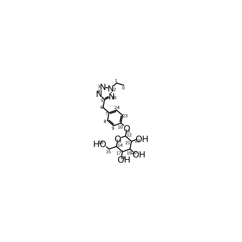 CCn1nnc(Cc2ccc(OC3OC(CO)C(O)C(O)C3O)cc2)n1